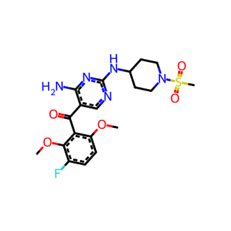 COc1ccc(F)c(OC)c1C(=O)c1cnc(NC2CCN(S(C)(=O)=O)CC2)nc1N